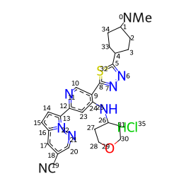 CNC1CCC(c2nnc(-c3cnc(-c4ccc5cc(C#N)cnn45)cc3NC3CCOCC3)s2)CC1.Cl